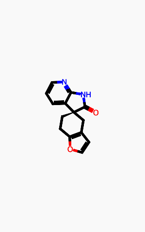 O=C1Nc2ncccc2[C@]12CCc1occc1C2